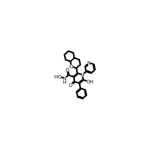 O=C(NO)c1c(C2CCC3CCCCC3O2)n(-c2cccnc2)c(O)c(-c2ccccc2)c1=O